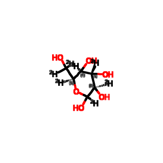 [2H]C1(O)O[C@@]([2H])(C([2H])([2H])O)[C@@]([2H])(O)[C@]([2H])(O)[C@@]1([2H])O